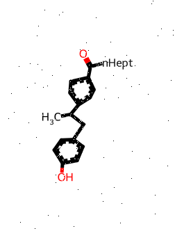 CCCCCCCC(=O)c1ccc(C(C)Cc2ccc(O)cc2)cc1